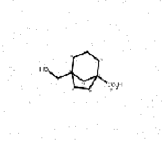 O=C(O)C12CCCC(CO)(CC1)C2